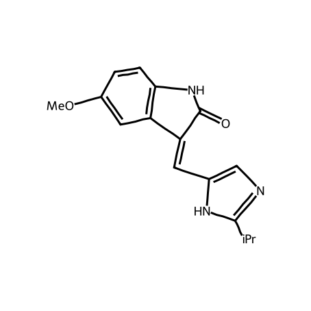 COc1ccc2c(c1)C(=Cc1cnc(C(C)C)[nH]1)C(=O)N2